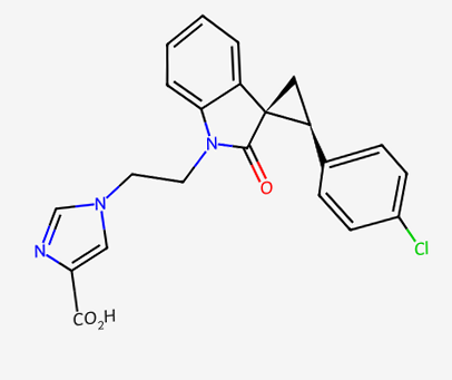 O=C(O)c1cn(CCN2C(=O)[C@]3(C[C@H]3c3ccc(Cl)cc3)c3ccccc32)cn1